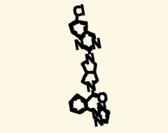 O=C(c1ccccc1-n1nccn1)N1CC2CN(c3ncc4cc(Cl)ccc4n3)CC2C1